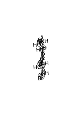 CCC(=O)N[C@@H](CCC(=O)NCCOCCOCC(=O)N[C@@H](CCCCNC(=O)CBr)C(=O)O)C(=O)O